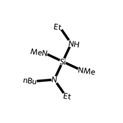 CCCCN(CC)[Si](NC)(NC)NCC